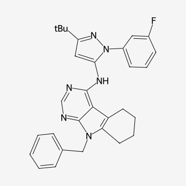 CC(C)(C)c1cc(Nc2ncnc3c2c2c(n3Cc3ccccc3)CCCC2)n(-c2cccc(F)c2)n1